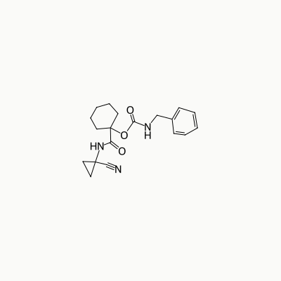 N#CC1(NC(=O)C2(OC(=O)NCc3ccccc3)CCCCC2)CC1